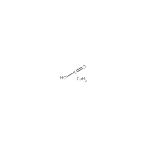 [CaH2].[O]=[Al][OH]